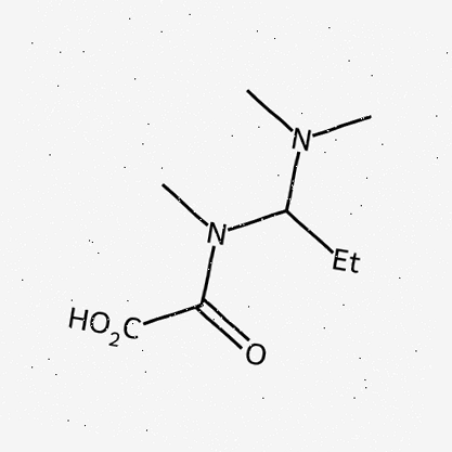 CCC(N(C)C)N(C)C(=O)C(=O)O